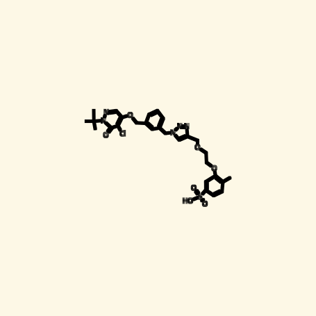 Cc1ccc(S(=O)(=O)O)cc1OCCOCc1cn(Cc2cccc(COc3cnn(C(C)(C)C)c(=O)c3Cl)c2)nn1